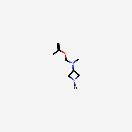 C=C(C)OCN(C)C1CN(CC)C1